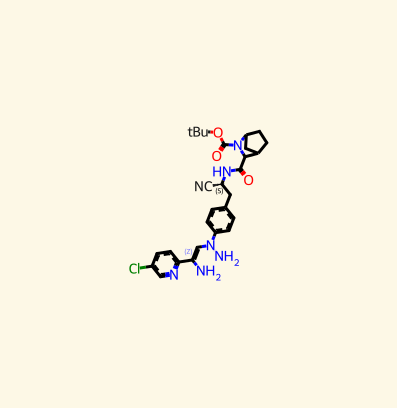 CC(C)(C)OC(=O)N1C2CCC(C2)C1C(=O)N[C@H](C#N)Cc1ccc(N(N)/C=C(\N)c2ccc(Cl)cn2)cc1